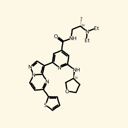 CCN(CC)[C@@H](C)CNC(=O)c1cc(N[C@H]2CCOC2)nc(-c2cnn3ccc(-c4cccs4)nc23)c1